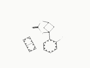 CC(=O)c1ccccc1C12CC(C1)OC(=O)N2.c1cc2ccc1-2